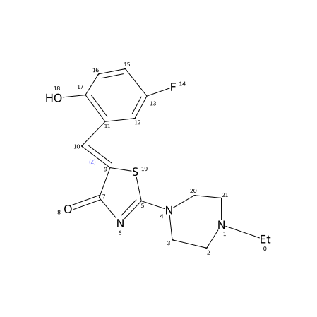 CCN1CCN(C2=NC(=O)/C(=C/c3cc(F)ccc3O)S2)CC1